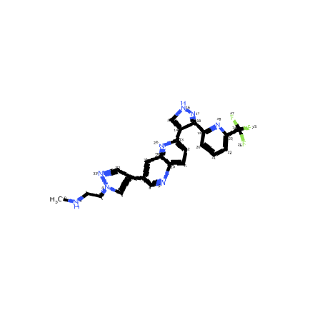 CNCCn1cc(-c2cnc3ccc(-c4c[nH]nc4-c4cccc(C(F)(F)F)n4)nc3c2)cn1